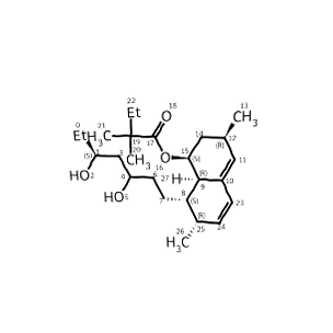 CC[C@H](O)CC(O)CC[C@@H]1[C@@H]2C(=C[C@H](C)C[C@@H]2OC(=O)C(C)(C)CC)C=C[C@@H]1C